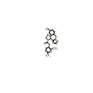 Cc1nc(C(F)(F)F)ccc1CC(=O)N1CCCC1c1ncnn1Cc1ccc(Cl)cc1